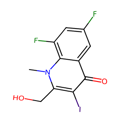 Cn1c(CO)c(I)c(=O)c2cc(F)cc(F)c21